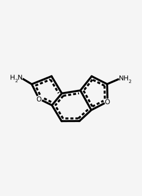 Nc1cc2c(ccc3oc(N)cc32)o1